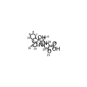 CCc1c(C(O)(c2ccccc2)c2ccc(C)s2)nc2cc(OC)c(C(=O)O)cn12